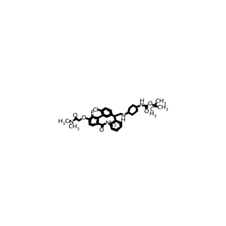 CN(C)C(=O)COc1ccc(C(N)=O)c(-c2cc(C(CNC3CCC(NC(=O)OC(C)(C)C)CC3)c3ccccc3)ccc2Cl)c1F